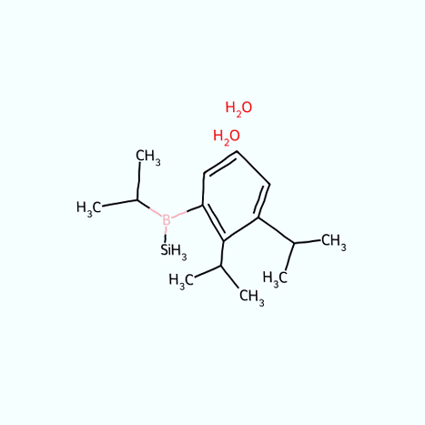 CC(C)B([SiH3])c1cccc(C(C)C)c1C(C)C.O.O